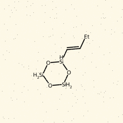 CCC=C[SiH]1O[SiH2]O[SiH2]O1